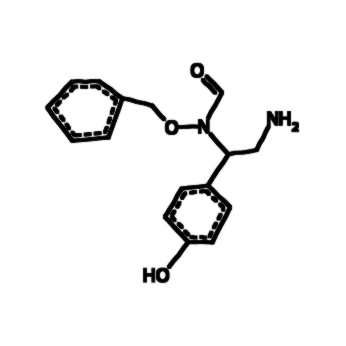 NCC(c1ccc(O)cc1)N(C=O)OCc1ccccc1